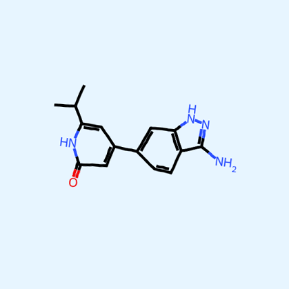 CC(C)c1cc(-c2ccc3c(N)n[nH]c3c2)cc(=O)[nH]1